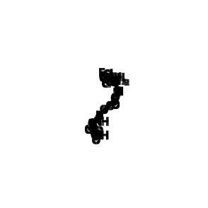 C[C@@H](Oc1cc(-c2cnn(C3CCN(C(=O)COCCOCCN4CC(Nc5cccc6c5CN(C5CCC(=O)NC5=O)C6=O)C4)CC3)c2)cnc1N)c1c(Cl)ccc(F)c1Cl